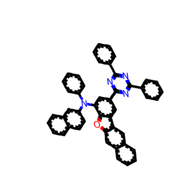 c1ccc(-c2nc(-c3ccccc3)nc(-c3cc(N(c4ccccc4)c4ccc5ccccc5c4)c4oc5cc6ccccc6cc5c4c3)n2)cc1